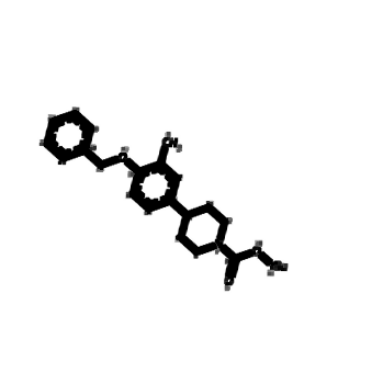 Cc1cc(C2CCN(C(=O)OC(C)(C)C)CC2)ccc1OCc1ccccc1